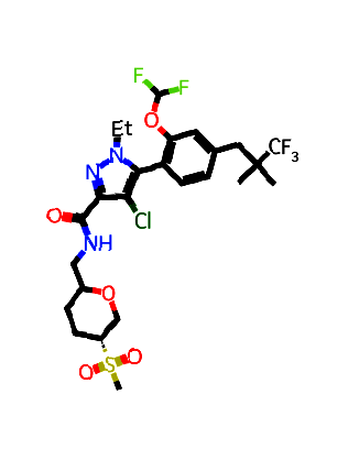 CCn1nc(C(=O)NCC2CC[C@@H](S(C)(=O)=O)CO2)c(Cl)c1-c1ccc(CC(C)(C)C(F)(F)F)cc1OC(F)F